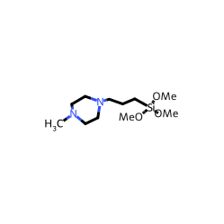 CO[Si](CCCN1CCN(C)CC1)(OC)OC